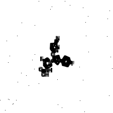 N#Cc1ccc(OC2CC(c3ccc(F)cc3)CC2N2C[C@H](F)C[C@@H](NC(=O)O)C2)nn1